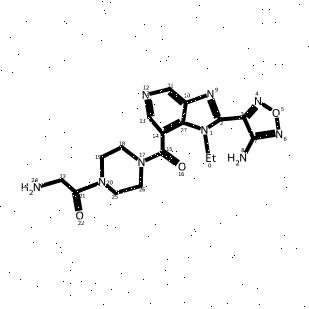 CCn1c(-c2nonc2N)nc2cncc(C(=O)N3CCN(C(=O)CN)CC3)c21